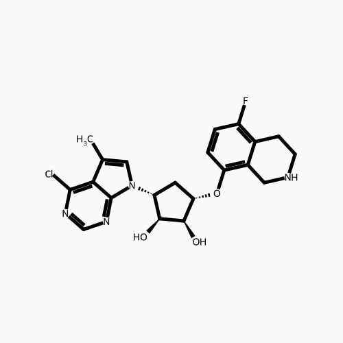 Cc1cn([C@@H]2C[C@H](Oc3ccc(F)c4c3CNCC4)[C@@H](O)[C@H]2O)c2ncnc(Cl)c12